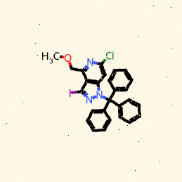 COCc1nc(Cl)cc2c1c(I)nn2C(c1ccccc1)(c1ccccc1)c1ccccc1